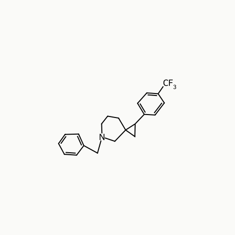 FC(F)(F)c1ccc(C2CC23CCCN(Cc2ccccc2)C3)cc1